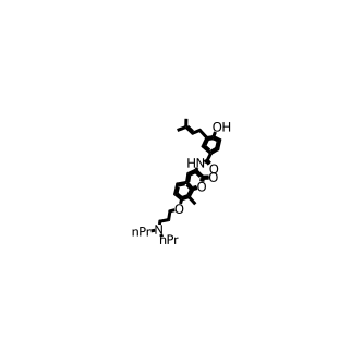 CCCN(CCC)CCCOc1ccc2cc(NC(=O)c3ccc(O)c(CC=C(C)C)c3)c(=O)oc2c1C